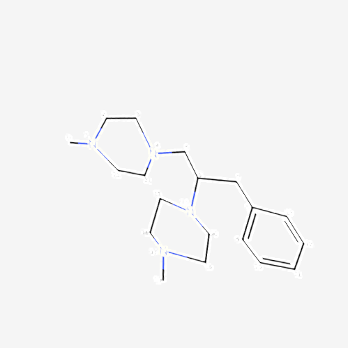 CN1CCN(CC(Cc2ccccc2)N2CCN(C)CC2)CC1